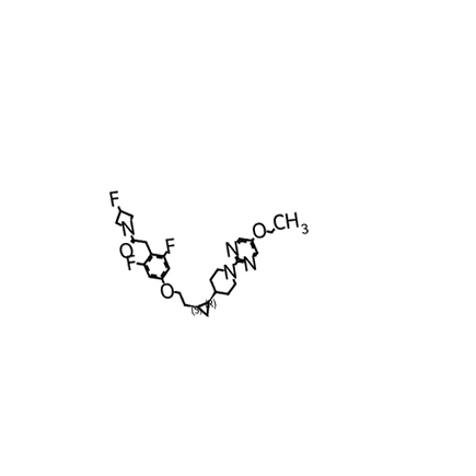 CCOc1cnc(N2CCC([C@H]3C[C@H]3CCOc3cc(F)c(CC(=O)N4CC(F)C4)c(F)c3)CC2)nc1